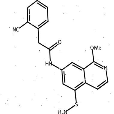 COc1nccc2c(SN)cc(NC(=O)Cc3ccccc3C#N)cc12